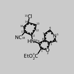 CCOC(=O)c1oc2cnccc2c1Nc1ccc(Cl)cc1C#N